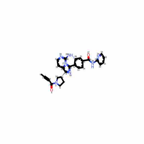 CC#CC(=O)N1CC[C@@H](c2nc(-c3ccc(C(=O)Nc4ccccn4)cc3)n3c(N)nccc23)C1